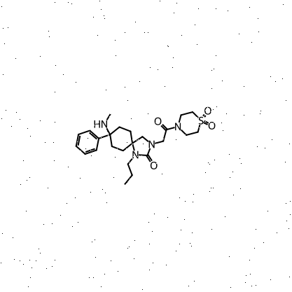 CCCN1C(=O)N(CC(=O)N2CCS(=O)(=O)CC2)CC12CCC(NC)(c1ccccc1)CC2